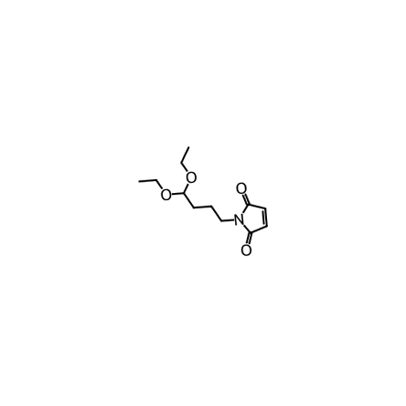 CCOC(CCCN1C(=O)C=CC1=O)OCC